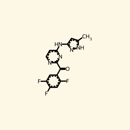 Cc1cc(Nc2ccnc(C(=O)c3cc(F)c(F)cc3F)n2)n[nH]1